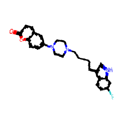 O=c1ccc2cc(N3CCN(CCCCc4c[nH]c5cc(F)ccc45)CC3)ccc2o1